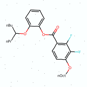 CCCCCCCCOc1ccc(C(=O)Oc2ccccc2OC(CCC)CCCC)c(F)c1F